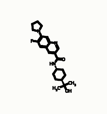 CC(C)(O)[C@H]1CC[C@H](NC(=O)c2cnc3cc(N4CCCC4)c(F)cc3c2)CC1